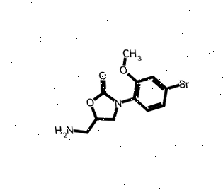 COc1cc(Br)ccc1N1CC(CN)OC1=O